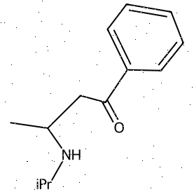 CC(C)NC(C)CC(=O)c1ccccc1